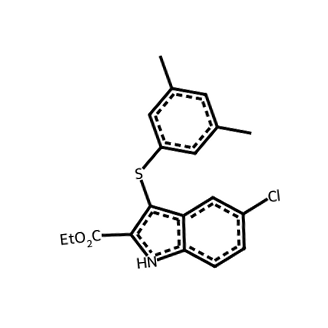 CCOC(=O)c1[nH]c2ccc(Cl)cc2c1Sc1cc(C)cc(C)c1